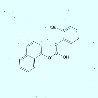 CC(C)(C)c1ccccc1OB(O)Oc1cccc2ccccc12